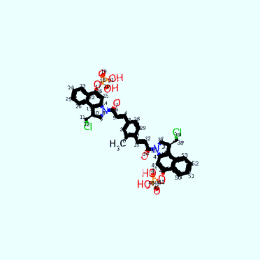 Cc1cc(/C=C/C(=O)N2C[C@@H](CCl)c3c2cc(OP(=O)(O)O)c2ccccc32)ccc1/C=C/C(=O)N1C[C@@H](CCl)c2c1cc(OP(=O)(O)O)c1ccccc21